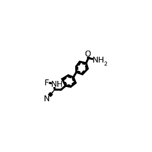 N#C[C@H](Cc1ccc(-c2ccc(C(N)=O)cc2)cc1)NF